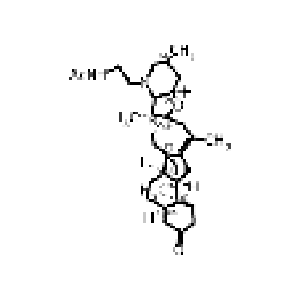 CC(=O)NCCN1C[C@@H](C)C[C@H]2O[C@]3(CC[C@@H]4C(=C(C)C3)C[C@H]3[C@H]4CC[C@@H]4CC(=O)CC[C@@]43C)[C@H](C)C21